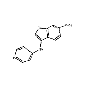 COc1ccc2c(Nc3ccncc3)csc2c1